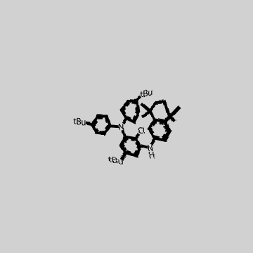 CC(C)(C)c1ccc(N(c2ccc(C(C)(C)C)cc2)c2cc(C(C)(C)C)cc(Nc3ccc4c(c3)C(C)(C)CCC4(C)C)c2Cl)cc1